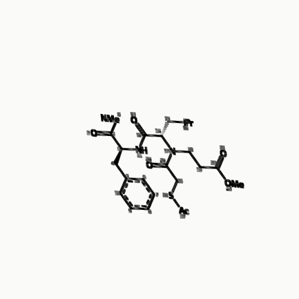 CNC(=O)[C@H](Cc1ccccc1)NC(=O)[C@H](CC(C)C)N(CCC(=O)OC)C(=O)CSC(C)=O